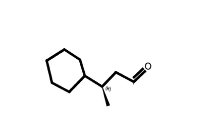 C[C@H](C[C]=O)C1CCCCC1